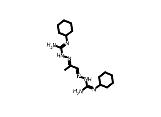 CC(/C=N/NC(N)=NC1CCCCC1)=N\NC(N)=NC1CCCCC1